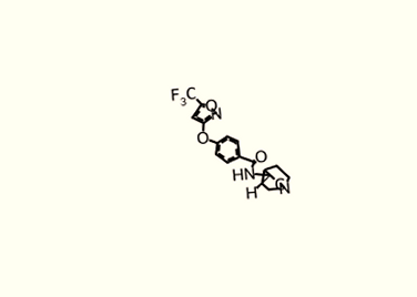 O=C(N[C@H]1CN2CCC1CC2)c1ccc(Oc2cc(C(F)(F)F)on2)cc1